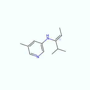 C/C=C(\Nc1cncc(C)c1)C(C)C